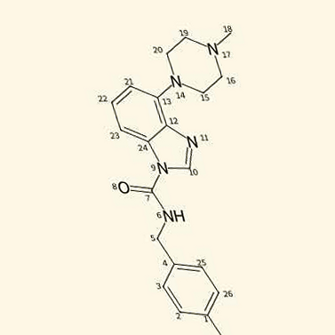 Cc1ccc(CNC(=O)n2cnc3c(N4CCN(C)CC4)cccc32)cc1